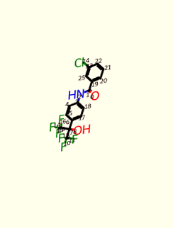 O=C(Nc1ccc(C(O)(C(F)(F)F)C(F)(F)F)cc1)c1cccc(Cl)c1